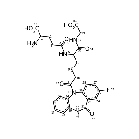 NC(CCC(=O)NC(CSCC(=O)N1c2ccccc2NC(=O)c2cc(F)ccc21)C(=O)NCC(=O)O)C(=O)O